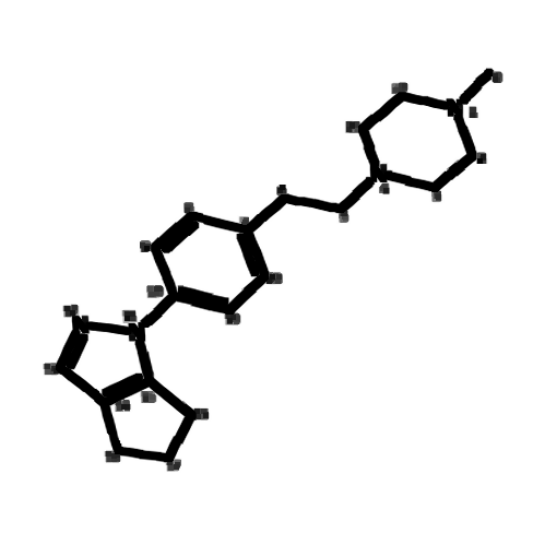 CN1CCN(CCc2ccc(-n3ncc4c3CCC4)cc2)CC1